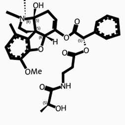 COc1ccc(C)c2c1O[C@H]1C(OC(=O)[C@@H](OC(=O)CCNC(=O)[C@H](C)O)c3ccccc3)=CC[C@@]3(O)[C@@H](C)N(C)CC[C@]213